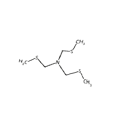 CSCN(CSC)CSC